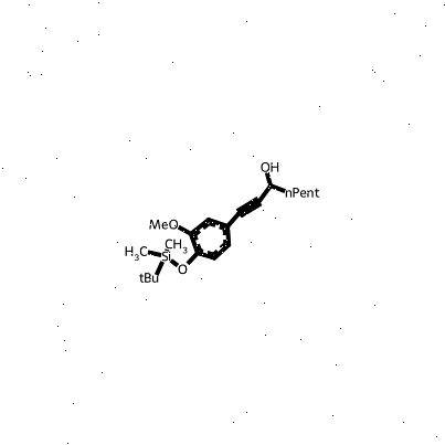 CCCCCC(O)C#Cc1ccc(O[Si](C)(C)C(C)(C)C)c(OC)c1